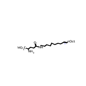 CCCCCCCC/C=C/CCCCCCCCNC(=O)CCC(N)C(=O)O